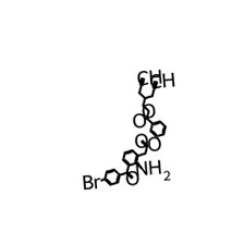 C#CCC(CC#C)COC(=O)c1cccc(OC(=O)Cc2cccc(C(=O)c3ccc(Br)cc3)c2N)c1